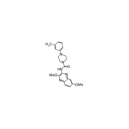 COc1ccc2nc(OC)c(NC(=O)N3CCN(c4cccc(C)c4)CC3)nc2c1